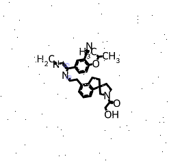 C=N/C=C(\N=C/Cc1cccc2c1CCC21CCN(C(=O)CO)C1)c1ccc(OC(C)C)c(C#N)c1